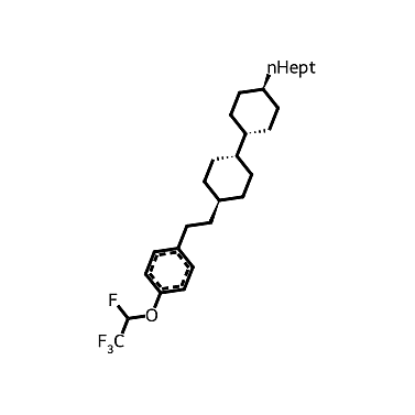 CCCCCCC[C@H]1CC[C@H]([C@H]2CC[C@H](CCc3ccc(OC(F)C(F)(F)F)cc3)CC2)CC1